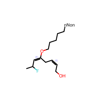 CCCCCCCCCCCCCCO/C(=C/C(C)F)C/C=C\CO